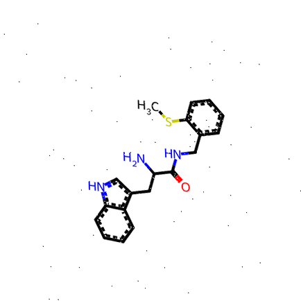 CSc1ccccc1CNC(=O)C(N)Cc1c[nH]c2ccccc12